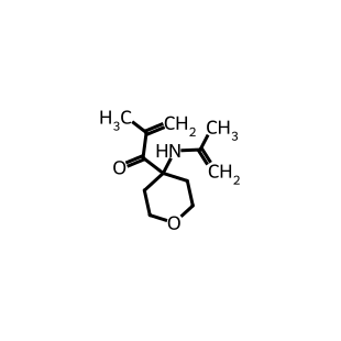 C=C(C)NC1(C(=O)C(=C)C)CCOCC1